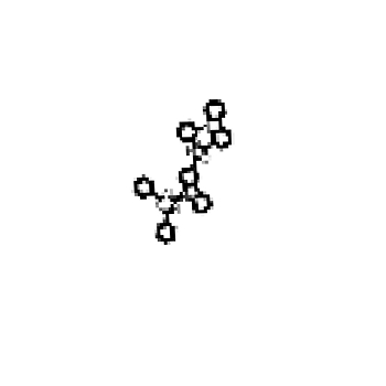 c1ccc(-c2nc(-c3ccccc3)nc(-n3c4ccccc4c4cc(-c5nnc(-c6cccc7c8ccccc8n(-c8ccccc8)c67)o5)ccc43)n2)cc1